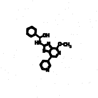 COc1ncc(-c2cccnc2)c2sc(NC(O)c3ccccc3)nc12